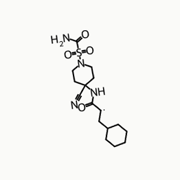 N#CC1(NC(=O)[CH]CC2CCCCC2)CCN(S(=O)(=O)C(N)=O)CC1